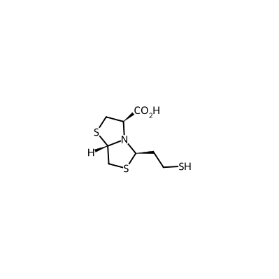 O=C(O)[C@@H]1CS[C@H]2CS[C@H](CCS)N21